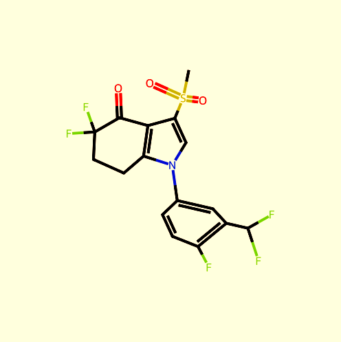 CS(=O)(=O)c1cn(-c2ccc(F)c(C(F)F)c2)c2c1C(=O)C(F)(F)CC2